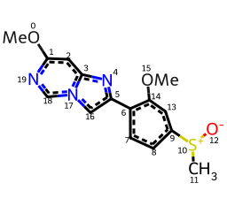 COc1cc2nc(-c3ccc([S+](C)[O-])cc3OC)cn2cn1